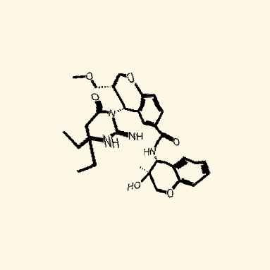 CCC1(CC)CC(=O)N([C@H]2c3cc(C(=O)N[C@@H]4c5ccccc5OC[C@@]4(C)O)ccc3OC[C@H]2COC)C(=N)N1